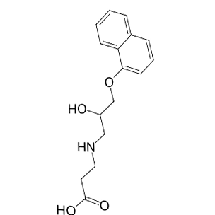 O=C(O)CCNCC(O)COc1cccc2ccccc12